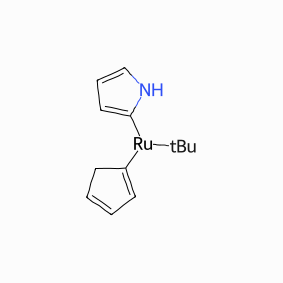 C[C](C)(C)[Ru]([C]1=CC=CC1)[c]1ccc[nH]1